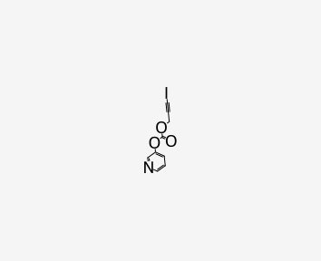 O=C(OCC#CI)Oc1cccnc1